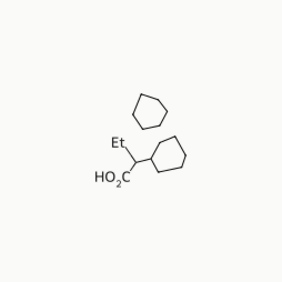 C1CCCCC1.CCC(C(=O)O)C1CCCCC1